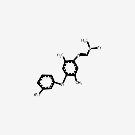 CCN(C)C=Nc1cc(C)c(Oc2cccc(C(C)(C)C)c2)cc1C